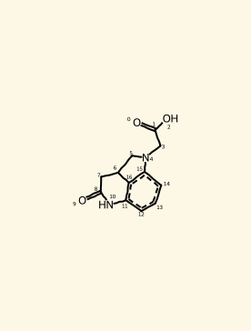 O=C(O)CN1CC2CC(=O)Nc3cccc1c32